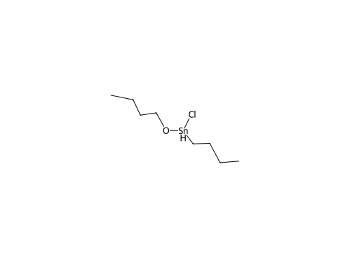 CCCC[O][SnH]([Cl])[CH2]CCC